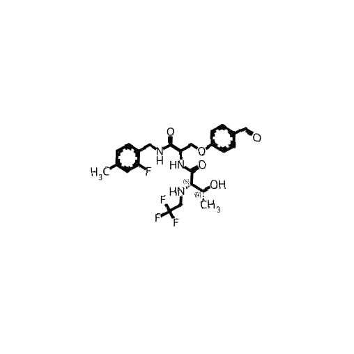 Cc1ccc(CNC(=O)C(COc2ccc(C=O)cc2)NC(=O)[C@@H](NCC(F)(F)F)[C@@H](C)O)c(F)c1